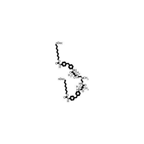 CCCCCCCCCCCCCCCCCCCOC(=O)Nc1ccc(Cc2ccc(NC(=O)C(C)(C)C(=O)NCCN(C)CCNC(=O)C(C)(C)C(=O)Nc3ccc(Cc4ccc(NC(=O)OCCCCCCCCCCCCCCCCCC)cc4)cc3)cc2)cc1